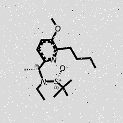 CCCCc1nc([C@@H](C)N(CC)[S@+]([O-])C(C)(C)C)ccc1OC